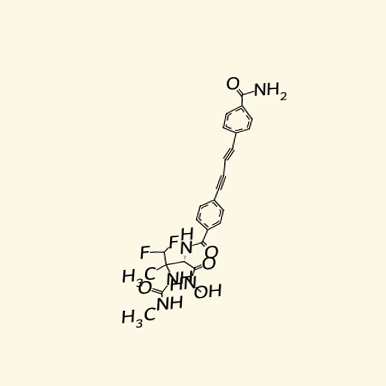 CNC(=O)NC(C)(C(F)F)[C@H](NC(=O)c1ccc(C#CC#Cc2ccc(C(N)=O)cc2)cc1)C(=O)NO